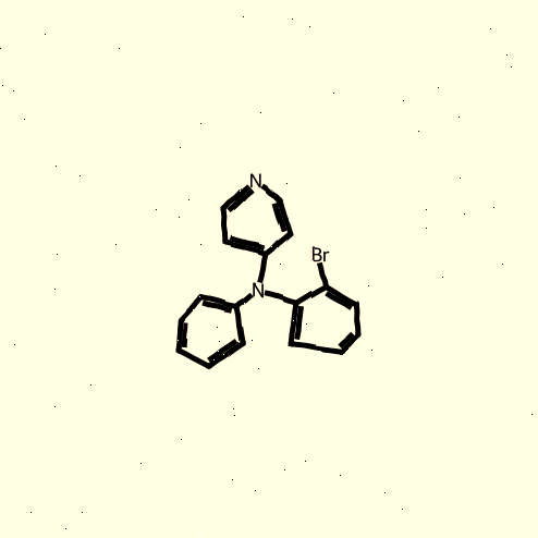 Brc1ccccc1N(c1ccccc1)c1ccncc1